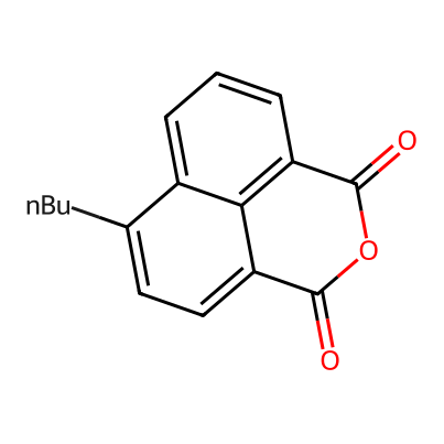 CCCCc1ccc2c3c(cccc13)C(=O)OC2=O